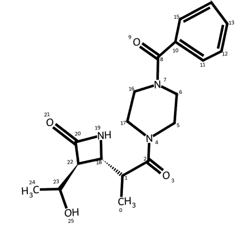 CC(C(=O)N1CCN(C(=O)c2ccccc2)CC1)[C@H]1NC(=O)[C@@H]1C(C)O